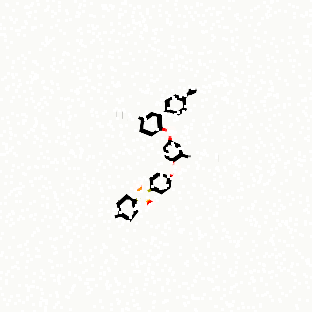 C#Cc1ccc(-c2cc(C)ccc2Oc2ccc(Oc3ccc(S(=O)(=O)c4ccc(C)cc4)cc3)c(S(=O)(=O)O)c2)cc1